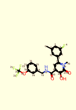 Cc1cc(F)cc(-c2cc(C(=O)NCc3cccc(OC(F)(F)F)c3)c(O)c(=O)n2C)c1